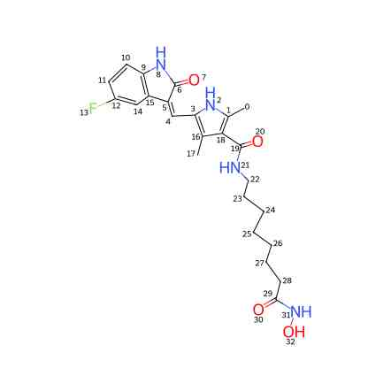 Cc1[nH]c(C=C2C(=O)Nc3ccc(F)cc32)c(C)c1C(=O)NCCCCCCCC(=O)NO